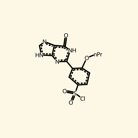 CCCOc1ccc(S(=O)(=O)Cl)cc1-c1nc2[nH]cnc2c(=O)[nH]1